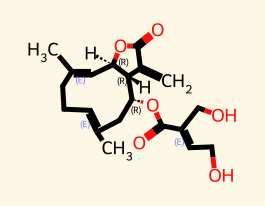 C=C1C(=O)O[C@@H]2/C=C(\C)CC/C=C(\C)C[C@@H](OC(=O)/C(=C/CO)CO)[C@@H]12